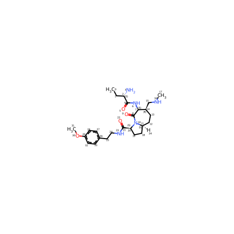 CC[C@H](N)C(=O)N[C@@H]1C(=O)N2[C@@H](CC[C@@H]1CNC)CC[C@H]2C(=O)NCCc1ccc(OC)cc1